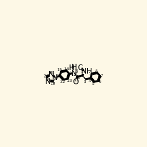 CN[C@@H](Cc1ccccc1)C(=O)Nc1ccc(-n2cncn2)cc1